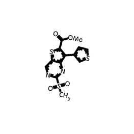 COC(=O)c1sc2cnc(S(C)(=O)=O)nc2c1-c1ccsc1